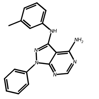 Cc1cccc(Nc2nn(-c3ccccc3)c3ncnc(N)c23)c1